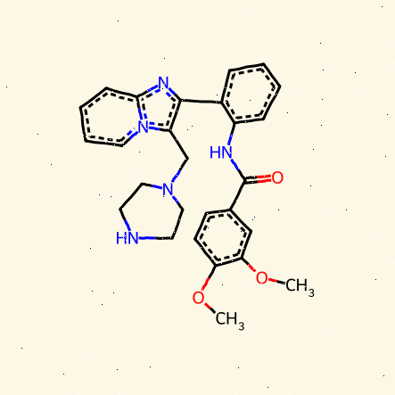 COc1ccc(C(=O)Nc2ccccc2-c2nc3ccccn3c2CN2CCNCC2)cc1OC